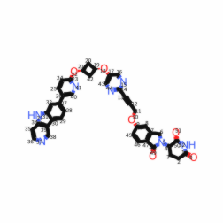 O=C1CCC(N2Cc3cc(OCC#Cc4ncc(O[C@H]5C[C@H](Oc6ccc(-c7ccc8c(c7)[nH]c7ccncc78)cn6)C5)cn4)ccc3C2=O)C(=O)N1